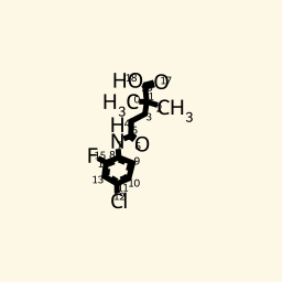 CC(C)(CCC(=O)Nc1ccc(Cl)cc1F)C(=O)O